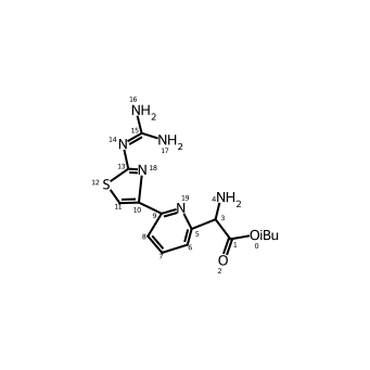 CC(C)COC(=O)C(N)c1cccc(-c2csc(N=C(N)N)n2)n1